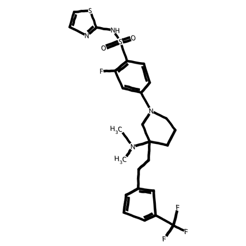 CN(C)C1(CCc2cccc(C(F)(F)F)c2)CCCN(c2ccc(S(=O)(=O)Nc3nccs3)c(F)c2)C1